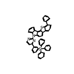 c1ccc(-c2cccc3c2sc2c3ccc3c2c2ccccc2n3-c2nccc(-c3cccc([Si](c4ccccc4)(c4ccccc4)c4ccccc4)c3)n2)cc1